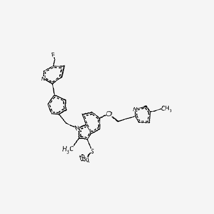 Cc1ccc(COc2ccc3c(c2)c(SC(C)(C)C)c(C)n3Cc2ccc(-c3ccc(F)cn3)cc2)nc1